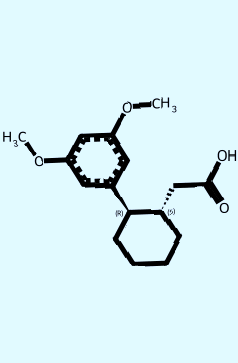 COc1cc(OC)cc([C@@H]2CCCC[C@H]2CC(=O)O)c1